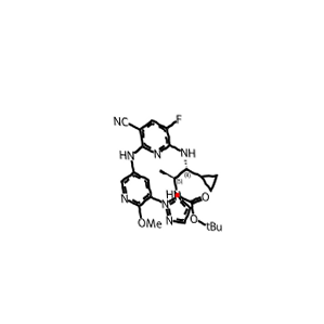 COc1ncc(Nc2nc(N[C@H](C3CC3)[C@H](C)NC(=O)OC(C)(C)C)c(F)cc2C#N)cc1-n1nccn1